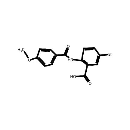 COc1ccc(C(=O)Nc2ccc(Br)cc2C(=O)O)cc1